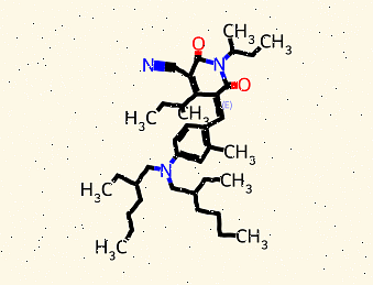 CCCCC(CC)CN(CC(CC)CCCC)c1ccc(/C=C2/C(=O)N(C(C)CC)C(=O)C(C#N)=C2C(C)CC)c(C)c1